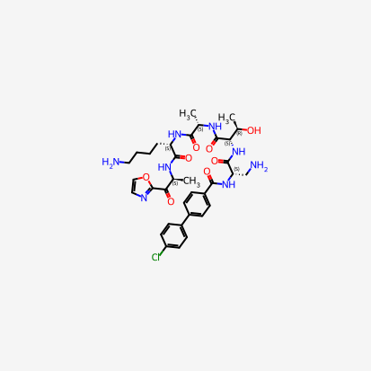 C[C@H](NC(=O)[C@@H](NC(=O)[C@H](CN)NC(=O)c1ccc(-c2ccc(Cl)cc2)cc1)[C@@H](C)O)C(=O)N[C@@H](CCCCN)C(=O)N[C@@H](C)C(=O)c1ncco1